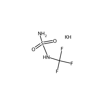 NS(=O)(=O)NC(F)(F)F.[KH]